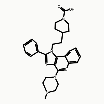 CN1CCN(c2nc3ccccc3c3c2nc(-c2ccccc2)n3CCC2CCN(C(=O)O)CC2)CC1